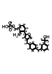 CC(C)(O)c1cccc(Cc2ccc(Cc3cc(-c4ccc[n+](COP(=O)([O-])O)c4N)on3)cc2)c1